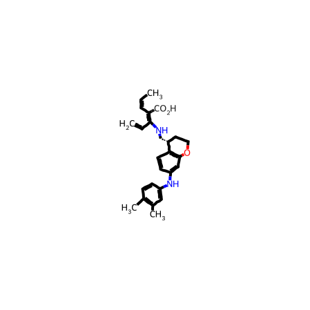 C=C/C(NC[C@@H]1CCOc2cc(Nc3ccc(C)c(C)c3)ccc21)=C(\C=C/C)C(=O)O